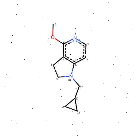 COc1nccc2c1CCN2CC1CC1